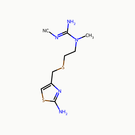 CN(CCSCc1csc(N)n1)C(N)=NC#N